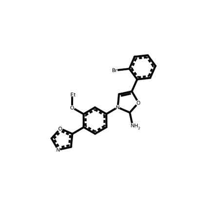 CCOc1cc(N2C=C(c3ccccc3Br)OC2N)ccc1-c1cnco1